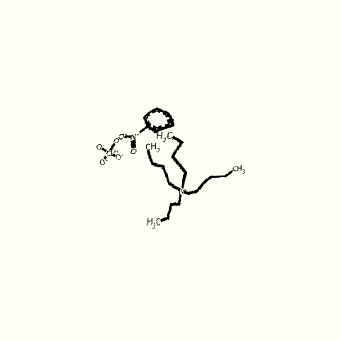 CCCC[N+](CCCC)(CCCC)CCCC.O=[N+]([O-])c1ccccc1.[O-][Cl+3]([O-])([O-])[O-]